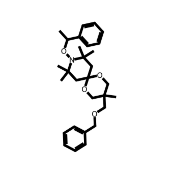 CC(ON1C(C)(C)CC2(CC1(C)C)OCC(C)(COCc1ccccc1)CO2)c1ccccc1